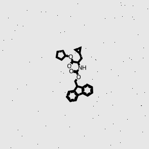 O=C(NC(CC1CC1)C(=O)OC1CCCC1)OCC1c2ccccc2-c2ccccc21